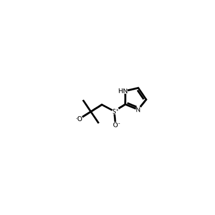 CC(C)([O])C[S+]([O-])c1ncc[nH]1